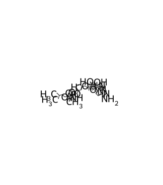 CCC(CC)COC(=O)[C@H](C)N[PH](=O)Oc1cccc(OC[C@H]2O[C@@](C#N)(c3ccc4c(N)ncnn34)[C@H](O)[C@@H]2O)c1